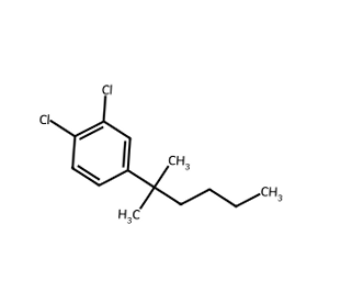 CCCCC(C)(C)c1ccc(Cl)c(Cl)c1